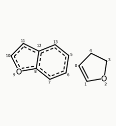 C1=COCC1.c1ccc2occc2c1